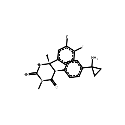 CN1C(=N)N[C@](C)(c2ccc(F)c(F)c2)[C@@H](c2ccc(C3(N)CC3)cc2)C1=O